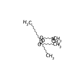 CCCCCCCCCCCC(COC(=O)C(CCCCCCC)CCCCCCC)OC(=O)CCCCCN(C)C